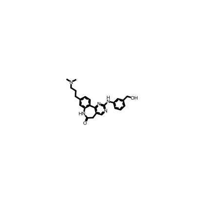 CN(C)CCCc1ccc2c(c1)NC(=O)Cc1cnc(Nc3cccc(CO)c3)nc1-2